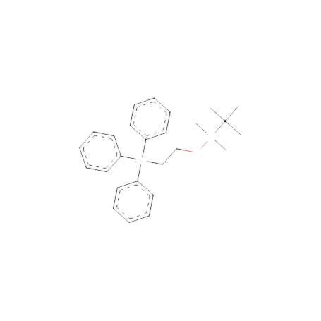 CC(C)(C)[Si](C)(C)OC[CH2][Sn]([c]1ccccc1)([c]1ccccc1)[c]1ccccc1